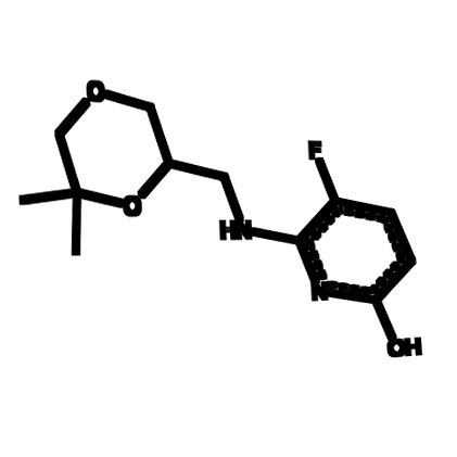 CC1(C)COCC(CNc2nc(O)ccc2F)O1